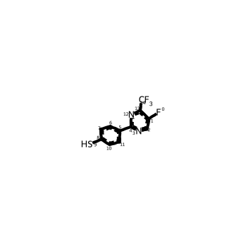 Fc1cnc(-c2ccc(S)cc2)nc1C(F)(F)F